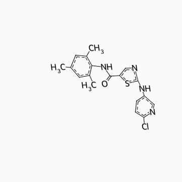 Cc1cc(C)c(NC(=O)c2cnc(Nc3ccc(Cl)nc3)s2)c(C)c1